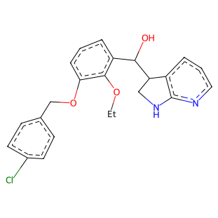 CCOc1c(OCc2ccc(Cl)cc2)cccc1C(O)C1CNc2ncccc21